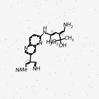 CN/C=C(\C=N)c1cnc2ccc(N/C(N)=C/C(=C\N)C(C)(C)O)nc2c1